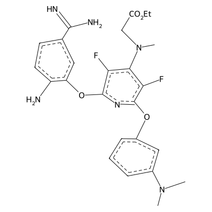 CCOC(=O)CN(C)c1c(F)c(Oc2cccc(N(C)C)c2)nc(Oc2cc(C(=N)N)ccc2N)c1F